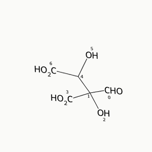 O=CC(O)(C(=O)O)C(O)C(=O)O